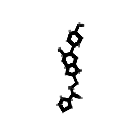 COc1cnc(-c2cc3[nH]c(CNC(=O)c4ccno4)cc3cc2Cl)cn1